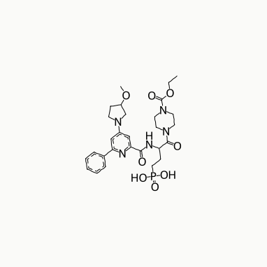 CCOC(=O)N1CCN(C(=O)C(CCP(=O)(O)O)NC(=O)c2cc(N3CCC(OC)C3)cc(-c3ccccc3)n2)CC1